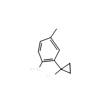 CNc1ccc(I)cc1C1(C)CC1